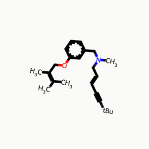 CC(C)=C(C)COc1cccc(CN(C)C/C=C/C#CC(C)(C)C)c1